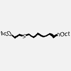 CCCCCCCCCCCCCCSCCOC(C)=O